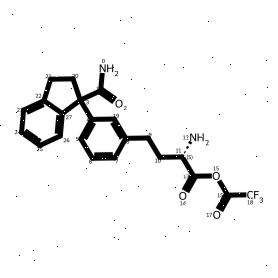 NC(=O)C1(c2cccc(CC[C@H](N)C(=O)OC(=O)C(F)(F)F)c2)CCc2ccccc21